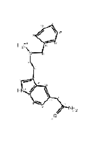 CN(CCc1c[nH]c2ccc(CC(N)=O)cc12)Cc1ccccc1